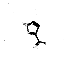 O=C(I)c1cc[nH]n1